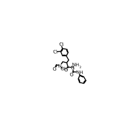 NN(C(=O)Nc1ccccc1)C(=O)C(Cc1ccc(Cl)c(Cl)c1)CN(O)C=O